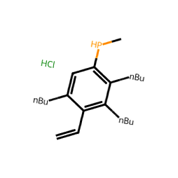 C=Cc1c(CCCC)cc(PC)c(CCCC)c1CCCC.Cl